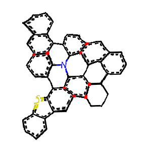 c1ccc(N(c2ccccc2-c2cccc3c2sc2ccccc23)c2ccccc2-c2cccc3cccc(C4CCCCC4)c23)c(-c2cccc3ccccc23)c1